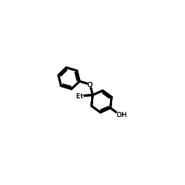 CCC1(Oc2ccccc2)C=CC(O)=CC1